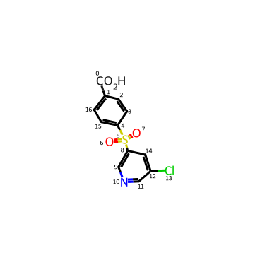 O=C(O)c1ccc(S(=O)(=O)c2cncc(Cl)c2)cc1